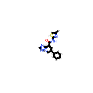 Cc1csc(NC(=O)c2cc(-c3ccccc3)cn3ncnc23)n1